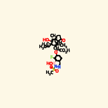 C=C[C@]1(C)C[C@@H](C(Oc2ccc3c(c2F)B(O)N(S(C)(=O)=O)N=C3)C(=O)O)[C@@]2(C)[C@H](C)CC[C@]3(CCC(=O)[C@H]32)[C@@H](C)[C@@H]1O